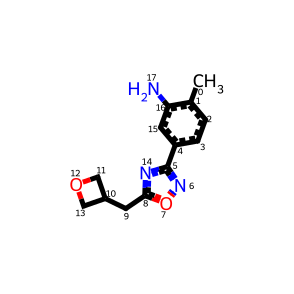 Cc1ccc(-c2noc(CC3COC3)n2)cc1N